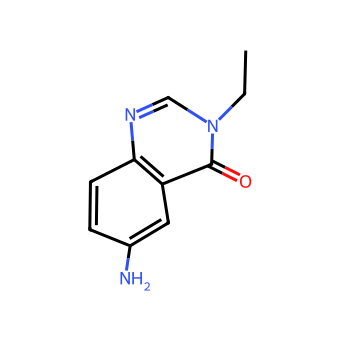 CCn1cnc2ccc(N)cc2c1=O